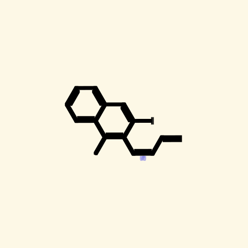 C=C/C=C\c1c(I)cc2ccccc2c1C